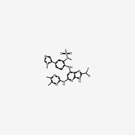 Cc1ncc(Nc2cc(Nc3ccc(-c4cncn4C)cc3N(C)S(C)(=O)=O)c3nc(C(F)F)[nH]c3n2)nc1C